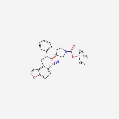 CC(C)(C)OC(=O)N1CC[C@H](OC(Cc2c(C#N)ccc3occc23)c2ccccc2)C1